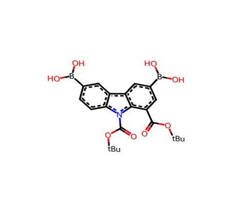 CC(C)(C)OC(=O)c1cc(B(O)O)cc2c3cc(B(O)O)ccc3n(C(=O)OC(C)(C)C)c12